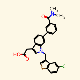 CN(C)C(=O)c1cccc(-c2ccc3c(CC(=O)O)cn(Cc4csc5ccc(Cl)cc45)c3c2)c1